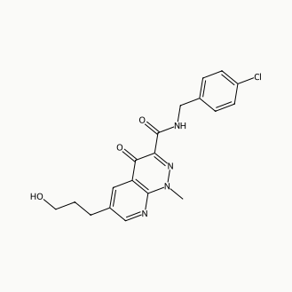 Cn1nc(C(=O)NCc2ccc(Cl)cc2)c(=O)c2cc(CCCO)cnc21